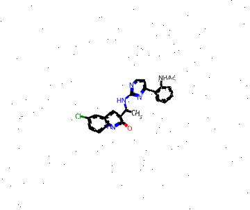 CC(=O)Nc1ccccc1-c1ccnc(NC(C)c2cc3cc(Cl)ccc3[nH]c2=O)n1